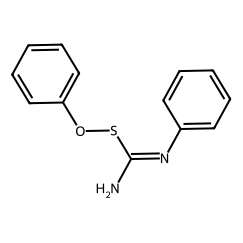 NC(=Nc1ccccc1)SOc1ccccc1